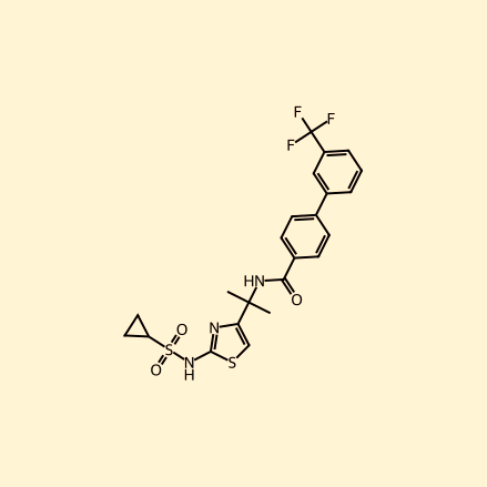 CC(C)(NC(=O)c1ccc(-c2cccc(C(F)(F)F)c2)cc1)c1csc(NS(=O)(=O)C2CC2)n1